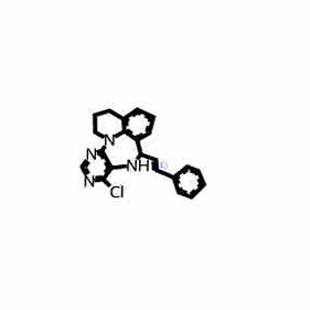 Clc1ncnc2c1NC(/C=C/c1ccccc1)c1cccc3c1N2CCC3